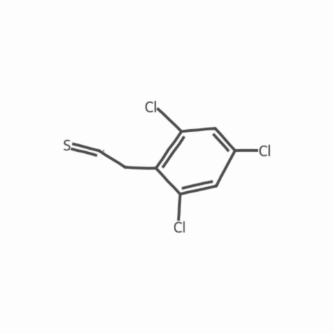 S=[C]Cc1c(Cl)cc(Cl)cc1Cl